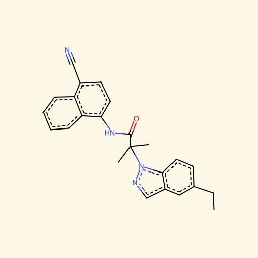 CCc1ccc2c(cnn2C(C)(C)C(=O)Nc2ccc(C#N)c3ccccc23)c1